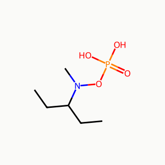 CCC(CC)N(C)OP(=O)(O)O